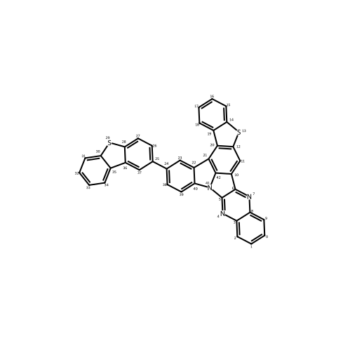 c1ccc2nc3c(nc2c1)c1cc2sc4ccccc4c2c2c4cc(-c5ccc6sc7ccccc7c6c5)ccc4n3c12